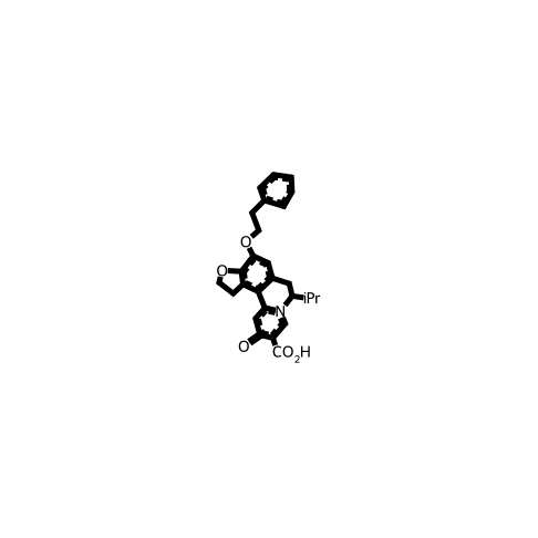 CC(C)C1Cc2cc(OCCc3ccccc3)c3c(c2-c2cc(=O)c(C(=O)O)cn21)CCO3